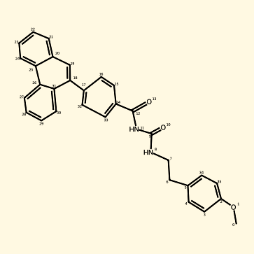 COc1ccc(CCNC(=O)NC(=O)c2ccc(-c3cc4ccccc4c4ccccc34)cc2)cc1